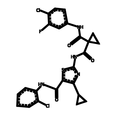 O=C(Nc1ccccc1Cl)c1sc(NC(=O)C2(C(=O)Nc3ccc(Cl)c(F)c3)CC2)nc1C1CC1